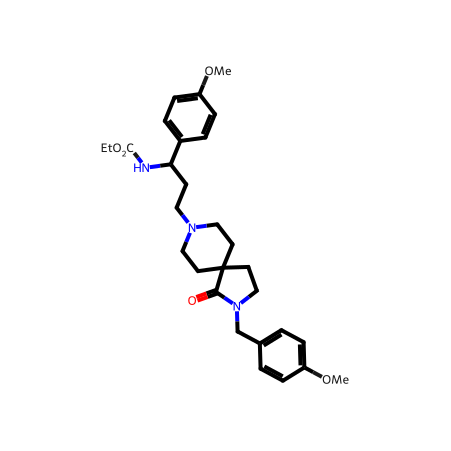 CCOC(=O)NC(CCN1CCC2(CC1)CCN(Cc1ccc(OC)cc1)C2=O)c1ccc(OC)cc1